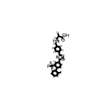 Cc1ccccc1-c1ccc(-c2nc(-c3ccc(CNCC(C)C(=O)O)cc3)no2)cc1C(F)(F)F